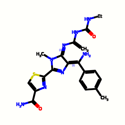 C=C(/N=C1\C(=C(/N)c2ccc(C)cc2)N=C(c2nc(C(N)=O)cs2)N1C)NC(=O)NCC